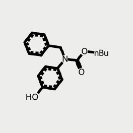 CCCCOC(=O)N(Cc1ccccc1)c1ccc(O)cc1